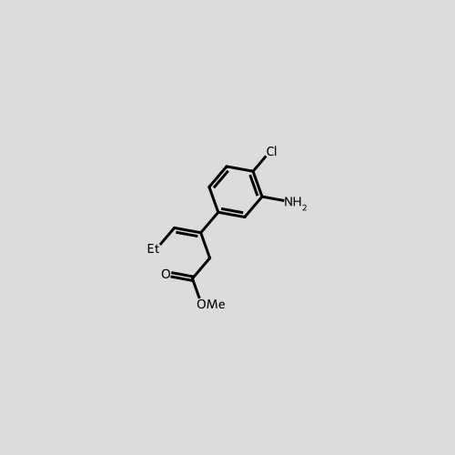 CCC=C(CC(=O)OC)c1ccc(Cl)c(N)c1